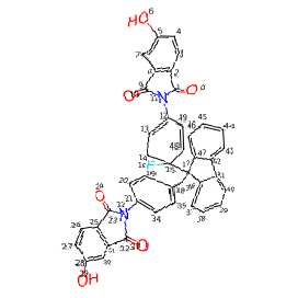 O=C1c2ccc(O)cc2C(=O)N1C1=CCC(F)(C2(c3ccc(N4C(=O)c5ccc(O)cc5C4=O)cc3)c3ccccc3-c3ccccc32)C=C1